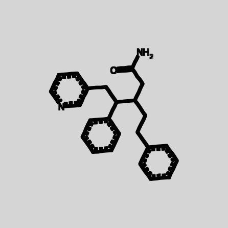 NC(=O)C[C](CCc1ccccc1)C(Cc1cccnc1)c1ccccc1